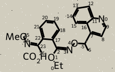 CCO/C(=N/OC(C)c1ccnc2ccccc12)c1ccccc1/C(=N\OC)C(=O)O